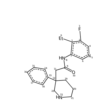 CCc1c(F)cncc1NC(=O)CC1(c2ccccc2)CCCNC1